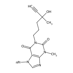 C#CC(C)(O)CCCn1c(=O)c2c(ncn2CCC)n(C)c1=O